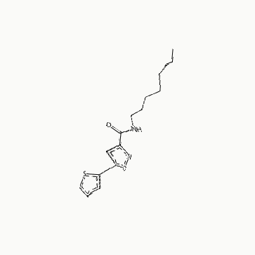 CCCCCCCNC(=O)c1cc(-c2cccs2)on1